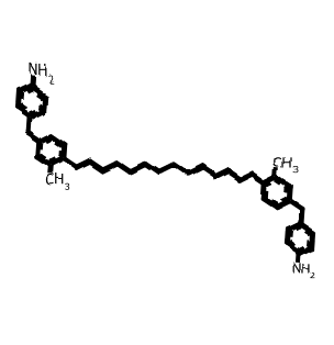 Cc1cc(Cc2ccc(N)cc2)ccc1CCCCCCCCCCCCCCc1ccc(Cc2ccc(N)cc2)cc1C